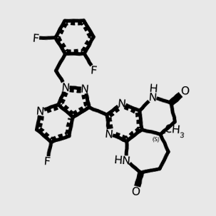 C[C@@]12CCC(=O)Nc3nc(-c4nn(Cc5c(F)cccc5F)c5ncc(F)cc45)nc(c31)NC(=O)C2